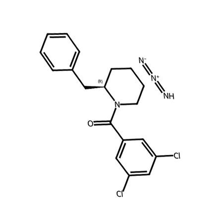 O=C(c1cc(Cl)cc(Cl)c1)N1CCCC[C@@H]1Cc1ccccc1.[N-]=[N+]=N